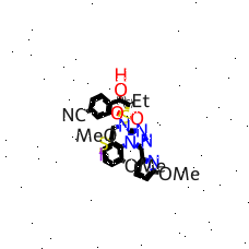 CC[C@@H]([C@H](O)c1ccc(C#N)cc1)S(=O)(=O)N(CCSI)c1nnc(-c2cccc(OC)n2)n1-c1c(OC)cccc1OC